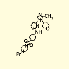 Cc1ncc(-c2ccnc(Nc3ccc(S(=O)(=O)N4CCN(C(C)C)CC4)cc3)n2)n1C1CCOCC1